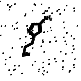 CCCCCCn1cc(N)cn1